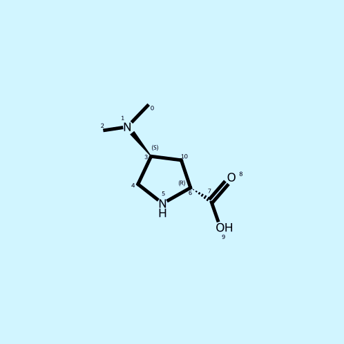 CN(C)[C@@H]1CN[C@@H](C(=O)O)C1